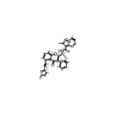 Cc1nn2cccnc2c1C(=O)N[C@@H](C)c1oc2cccc(C#Cc3ccn(C)n3)c2c(=O)c1-c1ccccc1